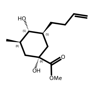 C=CCC[C@H]1C[C@@](O)(C(=O)OC)C[C@@H](C)[C@@H]1O